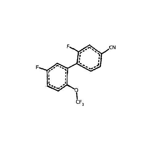 N#Cc1ccc(-c2cc(F)[c]cc2OC(F)(F)F)c(F)c1